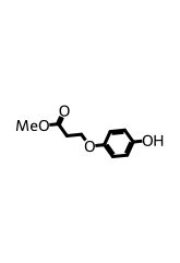 COC(=O)CCOc1ccc(O)cc1